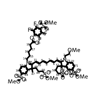 COCCN1/C(=C/C=C/C=C/C=C/C2=[N+](CCCCCC(=O)Oc3c(F)c(F)c(S(=O)(=O)OC)c(F)c3F)c3ccc(S(=O)(=O)OC)cc3C2(C)CCCS(=O)(=O)OC)C(C)(CCCS(=O)(=O)OC)c2cc(S(=O)(=O)OC)ccc21